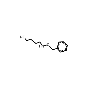 N#CCCCCNOCc1ccccc1